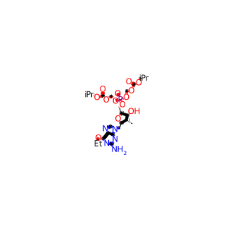 CCOc1nc(N)nc2c1ncn2C[C@@H]1O[C@H](COP(=O)(OCOC(=O)OC(C)C)OCOC(=O)OC(C)C)[C@@H](O)[C@@H]1C